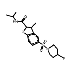 CC(C)NC(=O)C1Oc2ccc(S(=O)(=O)N3CCC(F)CC3)cc2C1C